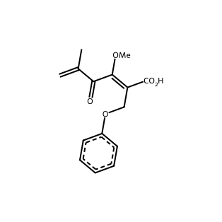 C=C(C)C(=O)C(OC)=C(COc1ccccc1)C(=O)O